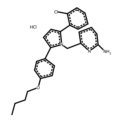 CCCCOc1ccc(-c2ccc(-c3ccccc3Cl)n2Cc2cccc(N)n2)cc1.Cl